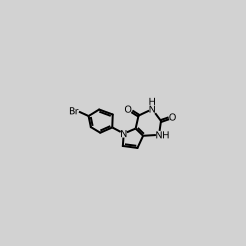 O=c1[nH]c(=O)c2c(ccn2-c2ccc(Br)cc2)[nH]1